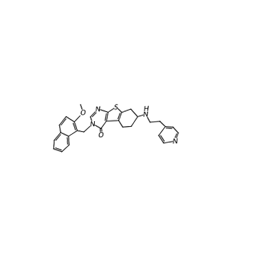 COc1ccc2ccccc2c1Cn1cnc2sc3c(c2c1=O)CCC(NCCc1ccncc1)C3